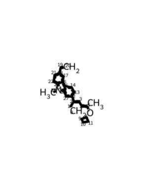 C=C/C(=C\C=C(/C)OC1CCC1)c1ccc2c3cc(C=C)ccc3n(C)c2c1